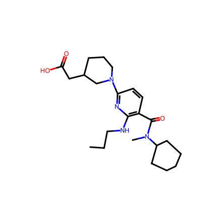 CCCNc1nc(N2CCCC(CC(=O)O)C2)ccc1C(=O)N(C)C1CCCCC1